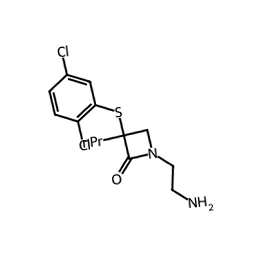 CCCC1(Sc2cc(Cl)ccc2Cl)CN(CCN)C1=O